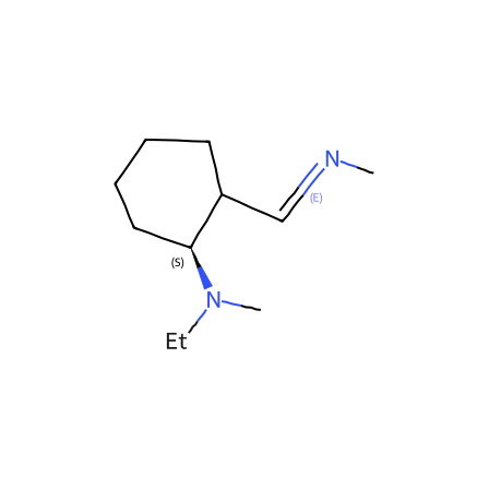 CCN(C)[C@H]1CCCCC1/C=N/C